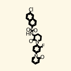 O=C1C(NS(=O)(=O)c2ccc3cc(Cl)ccc3c2)CCCN1c1ccc(-n2ccccc2=O)cc1F